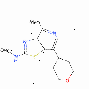 COC1=NC=C(C2CCOCC2)C2SC(NC=O)=NC12